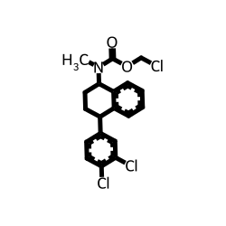 CN(C(=O)OCCl)C1CCC(c2ccc(Cl)c(Cl)c2)c2ccccc21